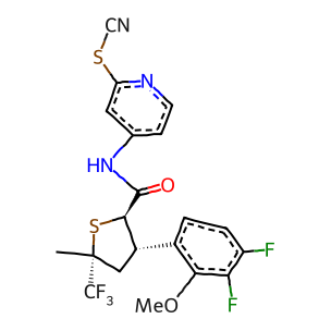 COc1c([C@@H]2C[C@](C)(C(F)(F)F)S[C@H]2C(=O)Nc2ccnc(SC#N)c2)ccc(F)c1F